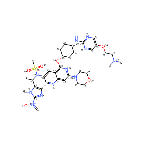 C=[N+]([O-])c1ncc(C(C)N(c2cnc3cc(N4CCOCC4)nc(O[C@H]4CC[C@@H](Nc5ncc(OCCN(C)C)cn5)CC4)c3c2)S(C)(=O)=O)n1C